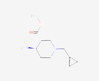 COC(=O)[C@@H]1CN(CC2CC2)CC[C@H]1N